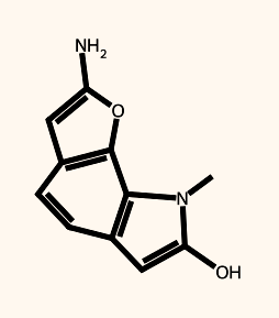 Cn1c(O)cc2ccc3cc(N)oc3c21